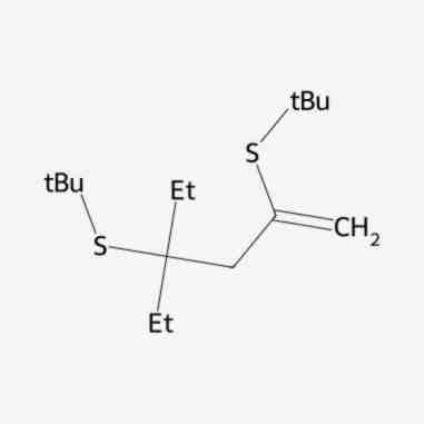 C=C(CC(CC)(CC)SC(C)(C)C)SC(C)(C)C